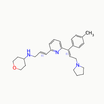 Cc1ccc(/C(=C\CN2CCCC2)c2cccc(/C=C/CNC3CCOCC3)n2)cc1